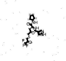 O=C(N[C@@H](CCCSCC(=O)C(F)(F)F)C(=O)NC1CCCC1)c1cn[nH]c1